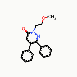 COCCn1nc(-c2ccccc2)c(-c2ccccc2)cc1=O